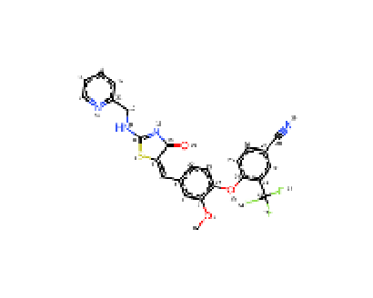 COc1cc(C=C2SC(NCc3ccccn3)=NC2=O)ccc1Oc1ccc(C#N)cc1C(F)(F)F